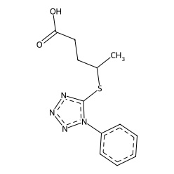 CC(CCC(=O)O)Sc1nnnn1-c1ccccc1